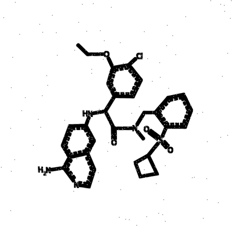 CCOc1cc(C(Nc2ccc3c(N)nccc3c2)C(=O)N(C)Cc2ccccc2S(=O)(=O)C2CCC2)ccc1Cl